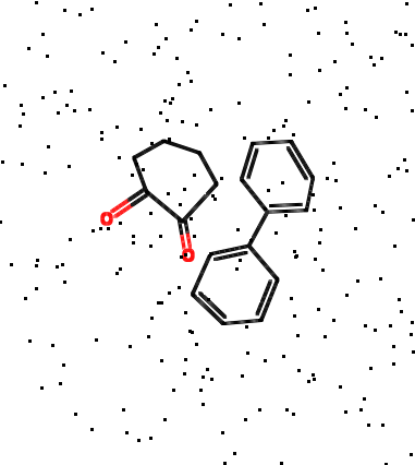 O=C1CCCCC1=O.c1ccc(-c2ccccc2)cc1